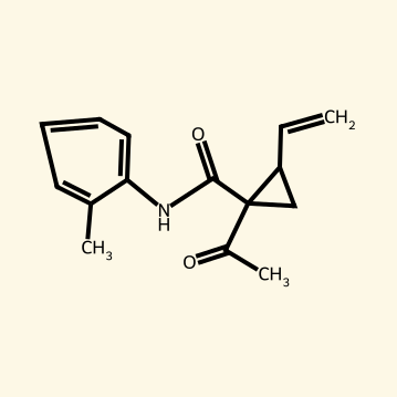 C=CC1CC1(C(C)=O)C(=O)Nc1ccccc1C